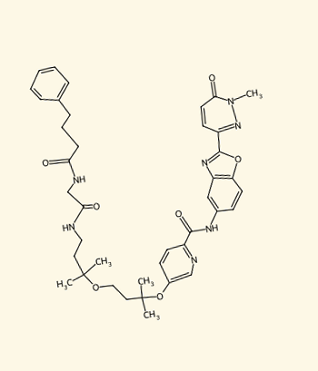 Cn1nc(-c2nc3cc(NC(=O)c4ccc(OC(C)(C)CCOC(C)(C)CCNC(=O)CNC(=O)CCCc5ccccc5)cn4)ccc3o2)ccc1=O